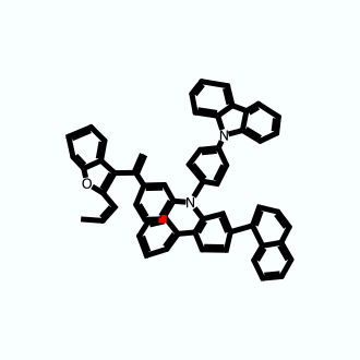 C=C(c1cccc(N(c2ccc(-n3c4ccccc4c4ccccc43)cc2)c2cc(-c3cccc4ccccc34)ccc2-c2ccccc2)c1)c1c(/C=C\C)oc2ccccc12